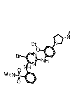 CCOc1cc(N2CC[C@H](N(C)C)C2)ccc1Nc1ncc(Br)c(Nc2ccccc2S(=O)(=O)NC)n1